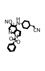 N#CC[C@H]1CC[C@H](Nc2c([N+](=O)[O-])cnc3c2ccn3S(=O)(=O)c2ccccc2)CC1